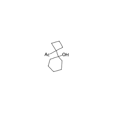 CC(=O)C1(C2(O)CCCCC2)CCC1